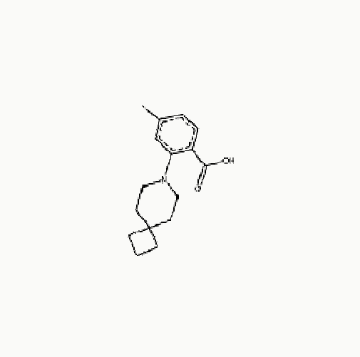 Cc1ccc(C(=O)O)c(N2CCC3(CCC3)CC2)c1